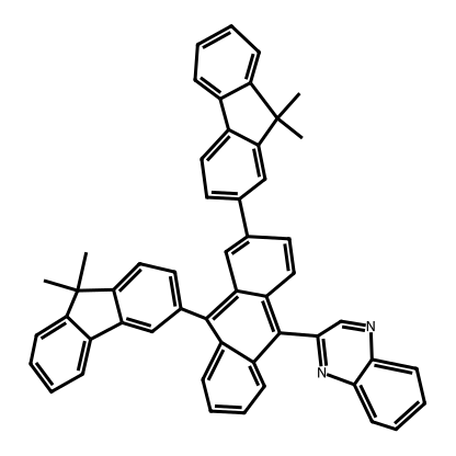 CC1(C)c2ccccc2-c2cc(-c3c4ccccc4c(-c4cnc5ccccc5n4)c4ccc(-c5ccc6c(c5)C(C)(C)c5ccccc5-6)cc34)ccc21